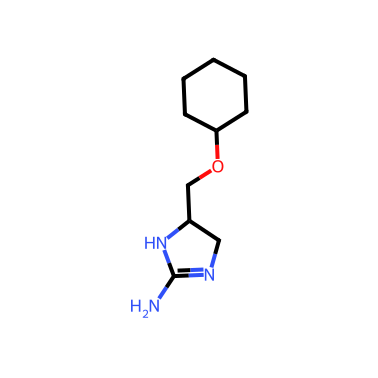 NC1=NCC(COC2CCCCC2)N1